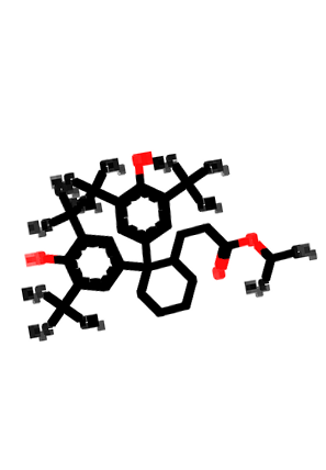 CC(C)OC(=O)CCC1CCCCC1(c1cc(C(C)(C)C)c(O)c(C(C)(C)C)c1)c1cc(C(C)(C)C)c(O)c(C(C)(C)C)c1